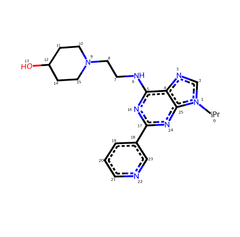 CC(C)n1cnc2c(NCCN3CCC(O)CC3)nc(-c3cccnc3)nc21